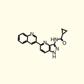 O=C(Nc1n[nH]c2ccc(-c3cnc4ccccc4c3)nc12)C1CC1